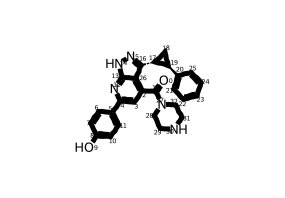 O=C(c1cc(-c2ccc(O)cc2)nc2[nH]nc([C@@H]3C[C@H]3c3ccccc3)c12)N1CCNCC1